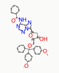 COc1ccc(C(OC[C@H]2O[C@@H](c3cnc4c(NC(=O)c5ccccc5)ncnn34)C[C@@H]2O)(c2ccccc2)c2ccc(OC)cc2)cc1